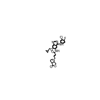 O=C(/C=C/CN1CCC2C(=O)OCC21)Nc1cc2c(Nc3ccc(F)c(Cl)c3)ncnc2cc1OCC1CC1